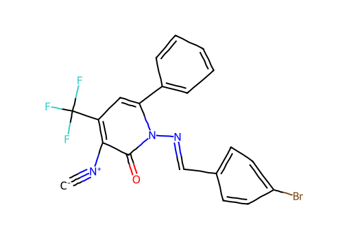 [C-]#[N+]c1c(C(F)(F)F)cc(-c2ccccc2)n(/N=C/c2ccc(Br)cc2)c1=O